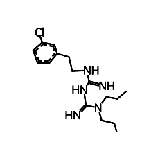 CCCN(CCC)C(=N)NC(=N)NCCc1cccc(Cl)c1